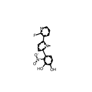 Cn1c(-c2cccnc2F)ccc1-c1ccc(O)c(O)c1[N+](=O)[O-]